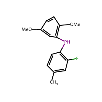 COc1ccc(OC)c(Pc2ccc(C)cc2F)c1